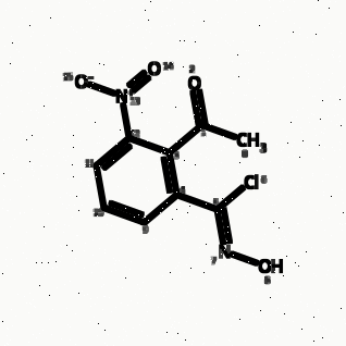 CC(=O)c1c(C(Cl)=NO)cccc1[N+](=O)[O-]